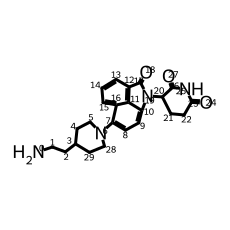 NCCC1CCN(c2ccc3c4c(cccc24)C(=O)N3C2CCC(=O)NC2=O)CC1